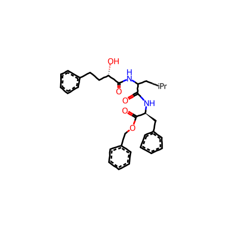 CC(C)CC(NC(=O)[C@@H](O)CCc1ccccc1)C(=O)N[C@@H](Cc1ccccc1)C(=O)OCc1ccccc1